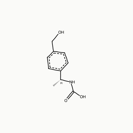 C[C@@H](NC(=O)O)c1ccc(CO)cc1